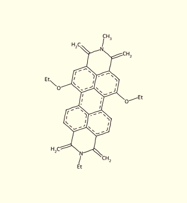 C=C1c2cc(OCC)c3c4ccc5c6c(ccc(c7c(OCC)cc(c2c37)C(=C)N1C)c64)C(=C)N(CC)C5=C